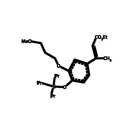 CCOC(=O)C=C(C)c1ccc(O[Si](C(C)C)(C(C)C)C(C)C)c(OCCCOC)c1